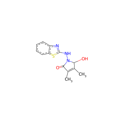 CC1=C(C)C(O)N(Nc2nc3ccccc3s2)C1=O